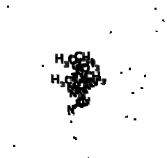 C[C@@H]1CN(c2ncnc3c2c(-n2ccnc2)cn3-c2cc(C#N)ccn2)[C@@H](C)CN1C(=O)OC(C)(C)C